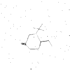 CCC1CCC(=O)CC1C(C)(C)C